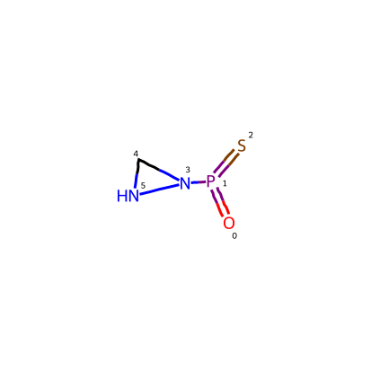 O=P(=S)N1CN1